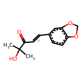 CC(C)(O)C(=O)/C=C/c1ccc2c(c1)OCO2